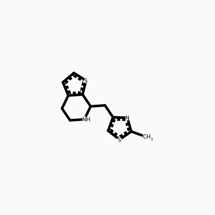 Cc1nc(CC2NCCc3ccsc32)cs1